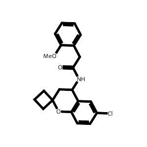 COc1ccccc1CC(=O)NC1CC2(CCC2)Oc2ccc(Cl)cc21